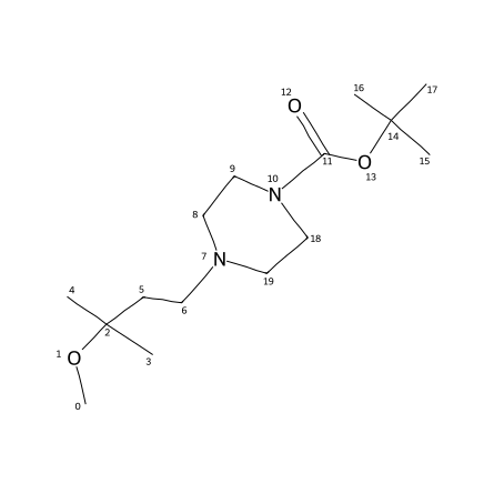 COC(C)(C)CCN1CCN(C(=O)OC(C)(C)C)CC1